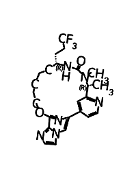 C[C@@H]1c2cc(ccn2)-c2cn3ccnc3c(n2)OCCCCC[C@H](CCC(F)(F)F)NC(=O)N1C